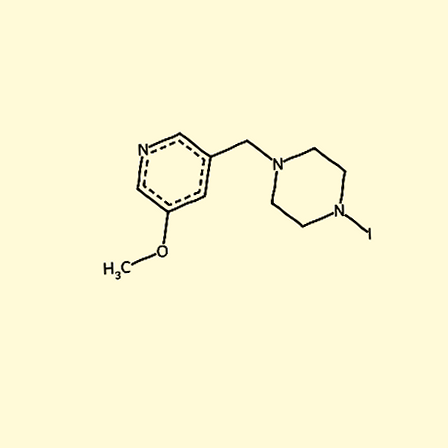 COc1cncc(CN2CCN(I)CC2)c1